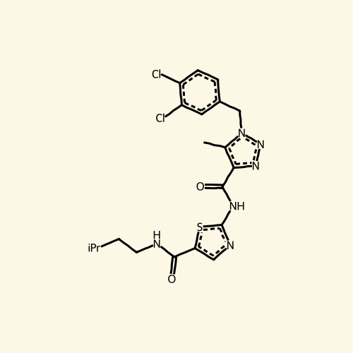 Cc1c(C(=O)Nc2ncc(C(=O)NCCC(C)C)s2)nnn1Cc1ccc(Cl)c(Cl)c1